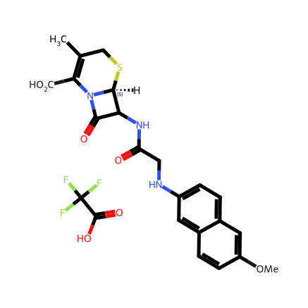 COc1ccc2cc(NCC(=O)NC3C(=O)N4C(C(=O)O)=C(C)CS[C@@H]34)ccc2c1.O=C(O)C(F)(F)F